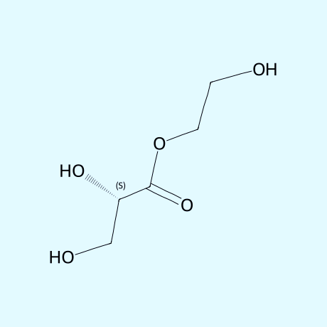 O=C(OCCO)[C@@H](O)CO